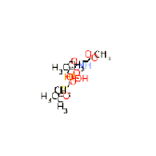 COC(=O)CCNC(=O)C1O[PH](O)(OCCSC(=O)C(C)(C)C)OCC1(C)C